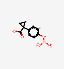 O=C(O)C1(c2ccc(OB(O)O)cc2)CC1